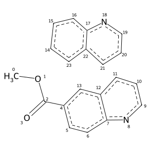 COC(=O)c1ccc2ncccc2c1.c1ccc2ncccc2c1